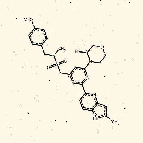 CC[C@H]1COCCN1c1cc(CS(=O)(=O)N(C)Cc2ccc(OC)cc2)nc(-c2ccc3[nH]c(C)cc3n2)n1